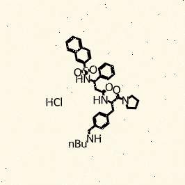 CCCCNCc1ccc(CC(NC(=O)CC(NS(=O)(=O)c2ccc3ccccc3c2)c2ccccc2)C(=O)N2CCCC2)cc1.Cl